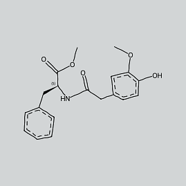 COC(=O)[C@H](Cc1ccccc1)NC(=O)Cc1ccc(O)c(OC)c1